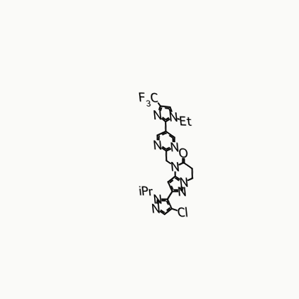 CCn1cc(C(F)(F)F)nc1-c1cnc(CN2C(=O)CCn3nc(-c4c(Cl)cnn4C(C)C)cc32)nc1